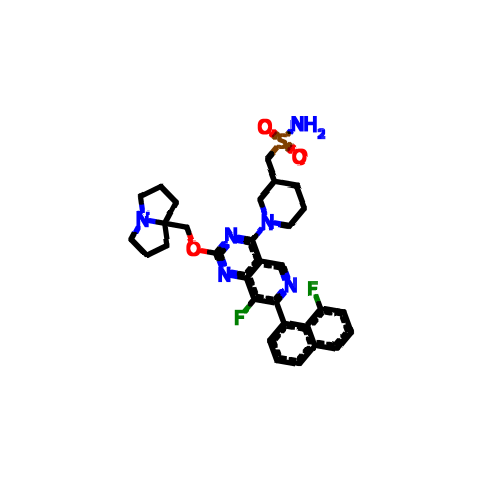 NS(=O)(=O)CC1CCCN(c2nc(OCC34CCCN3CCC4)nc3c(F)c(-c4cccc5cccc(F)c45)ncc23)C1